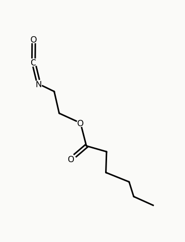 CCCCCC(=O)OCCN=C=O